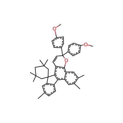 COc1ccc(C2(c3ccc(OC)cc3)C=Cc3c4c(c5cc(C)c(C)cc5c3O2)-c2ccc(C)cc2C42CC(C)(C)CC(C)(C)C2)cc1